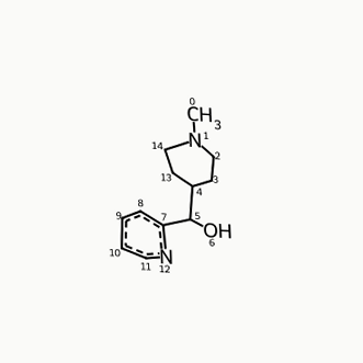 CN1CCC(C(O)c2ccccn2)CC1